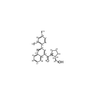 O=C(c1cc(-c2ccc(F)cc2F)nc2ccccc12)N1CCC[C@H]1CO